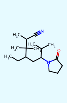 CCC(CC(C(C)C)N1CCCC1=O)C(C)(C)C(C)C#N